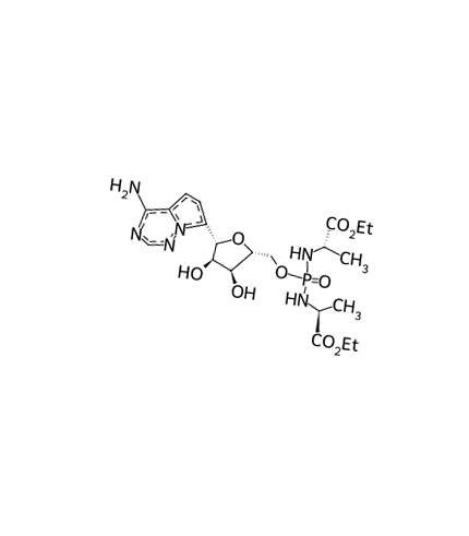 CCOC(=O)[C@H](C)NP(=O)(N[C@@H](C)C(=O)OCC)OC[C@H]1O[C@@H](c2ccc3c(N)ncnn23)[C@H](O)[C@@H]1O